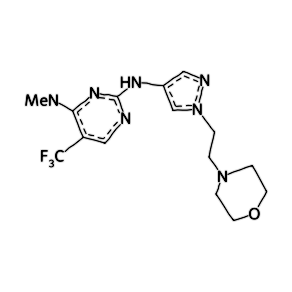 CNc1nc(Nc2cnn(CCN3CCOCC3)c2)ncc1C(F)(F)F